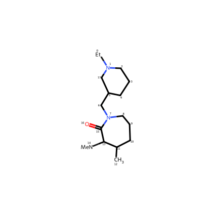 CCN1CCCC(CN2CCCC(C)C(NC)C2=O)C1